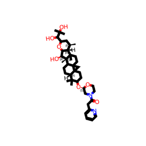 C[C@@H]1CC(C(O)C(C)(C)O)OC2[C@H]1C1(C)CCC34CC35CCC(O[C@H]3CN(C(=O)Cc6ccccn6)CCO3)C(C)(C)[C@@H]5CCC4[C@]1(C)[C@H]2O